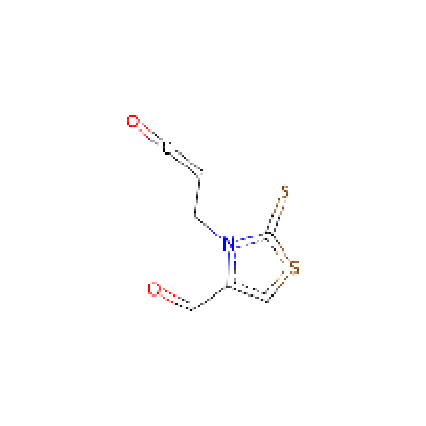 O=C=CCn1c(C=O)csc1=S